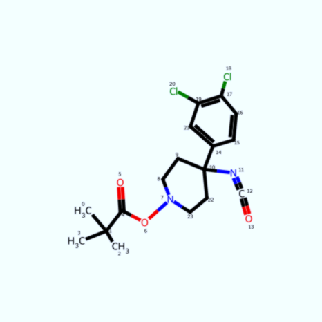 CC(C)(C)C(=O)ON1CCC(N=C=O)(c2ccc(Cl)c(Cl)c2)CC1